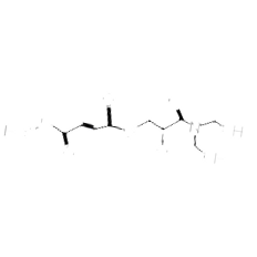 CCN(CC)C(=O)[C@@H](O)COC(=O)/C=C/C(=O)OC